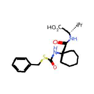 CC(C)[C@H](NC(=O)C1(NC(=O)SCc2ccccc2)CCCCC1)C(=O)O